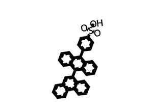 O=S(=O)(O)c1ccc(-c2c3ccccc3c(-c3cc4ccccc4c4ccccc34)c3ccccc23)cc1